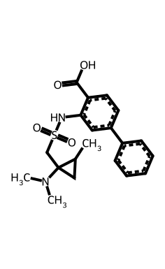 CC1CC1(CS(=O)(=O)Nc1cc(-c2ccccc2)ccc1C(=O)O)N(C)C